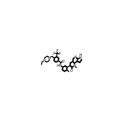 CCN1CCN(Cc2ccc(C(=O)Nc3ccc(C)c(-c4cc5cnc6[nH]ccc6c5n(C)c4=O)c3)cc2C(F)(F)F)CC1